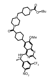 COc1cc2nc(C)nc(N[C@H](C)c3cc([N+](=O)[O-])cc(C(F)(F)F)c3)c2cc1C1CCC(C(=O)N2CCN(CC3CCN(C(=O)OC(C)(C)C)CC3)CC2)CC1